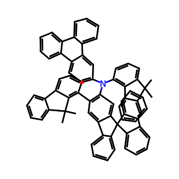 CC1(C)c2ccccc2-c2c(N(c3ccc4c5ccccc5c5ccccc5c4c3)c3cc4c(cc3-c3cccc5c3C(C)(C)c3ccccc3-5)-c3ccccc3C43c4ccccc4-c4ccccc43)cccc21